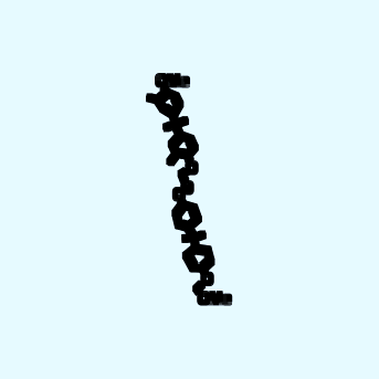 COCOc1ccc(C(C)(C)c2ccc(OOCOc3ccc(C(C)(C)c4ccc(OC)c(C)c4)cc3C)cc2)cc1